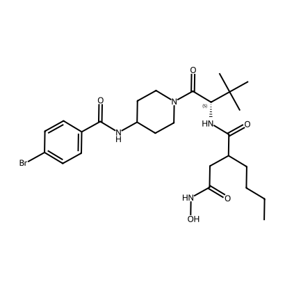 CCCCC(CC(=O)NO)C(=O)N[C@H](C(=O)N1CCC(NC(=O)c2ccc(Br)cc2)CC1)C(C)(C)C